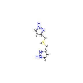 c1cc(CSCc2cc[nH]n2)n[nH]1